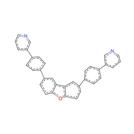 c1cncc(-c2ccc(-c3ccc4oc5ccc(-c6ccc(-c7cccnc7)cc6)cc5c4c3)cc2)c1